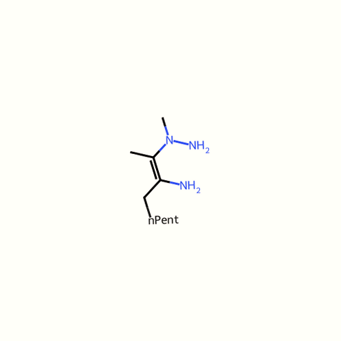 CCCCCC/C(N)=C(\C)N(C)N